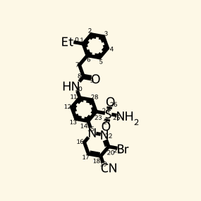 CCc1ccccc1CC(=O)Nc1ccc(N2CC=C(C#N)C(Br)=N2)c(S(N)(=O)=O)c1